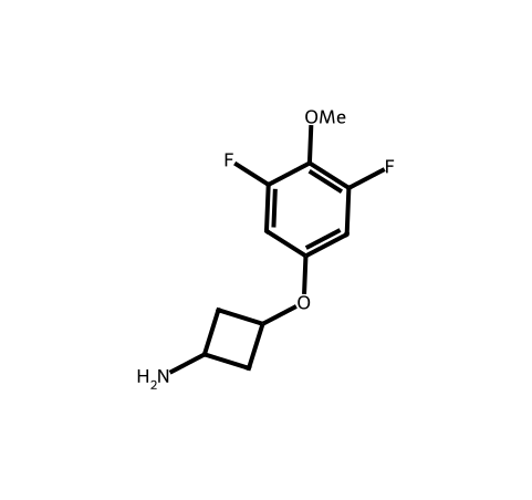 COc1c(F)cc(OC2CC(N)C2)cc1F